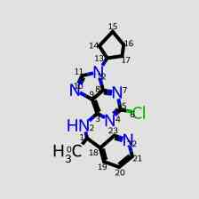 CC(Nc1nc(Cl)nc2c1ncn2C1CCCC1)c1cccnc1